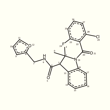 CC1(C)C(C(=O)NCc2ccco2)c2ccccc2N1C(=O)c1c(F)cccc1Cl